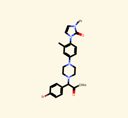 COC(=O)C(c1ccc(Br)cc1)N1CCN(c2ccc(-n3ccn(C(C)C)c3=O)c(C)c2)CC1